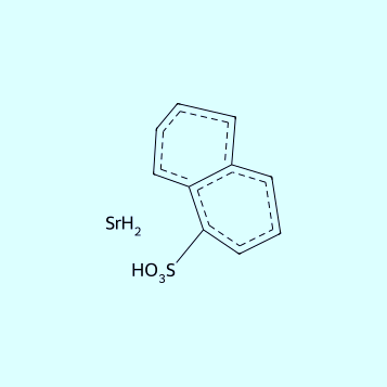 O=S(=O)(O)c1cccc2ccccc12.[SrH2]